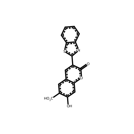 O=C(O)c1cc2cc(-c3nc4ccccc4s3)c(=O)oc2cc1O